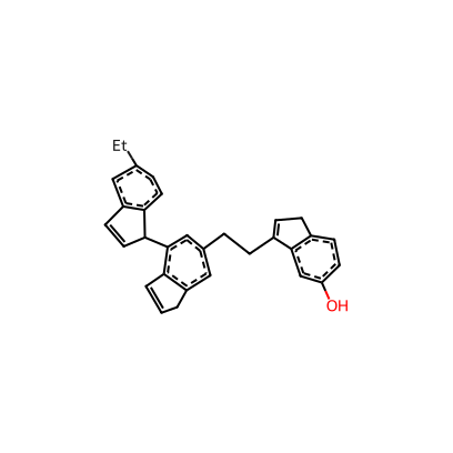 CCc1ccc2c(c1)C=CC2c1cc(CCC2=CCc3ccc(O)cc32)cc2c1C=CC2